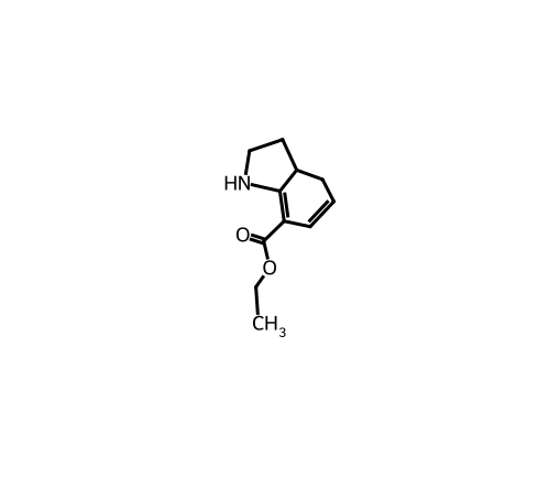 CCOC(=O)C1=C2NCCC2CC=C1